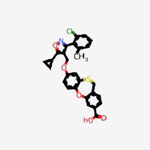 Cc1cccc(Cl)c1-c1noc(C2CC2)c1COc1ccc2c(c1)SCc1ccc(C(=O)O)cc1O2